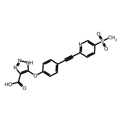 CS(=O)(=O)c1ccc(C#Cc2ccc(Oc3[nH]nnc3C(=O)O)cc2)nc1